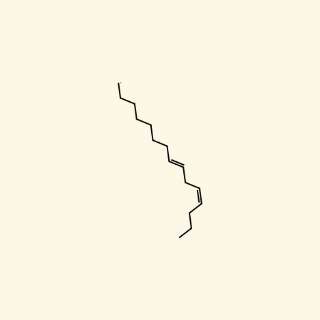 [CH2]CCCCCCC=CC/C=C\CCC